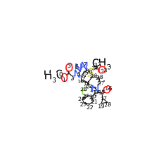 COC(=O)Cn1nncc1/C=C1/CN(C(C(=O)C2CC2)c2ccccc2F)CCC1SC(C)=O